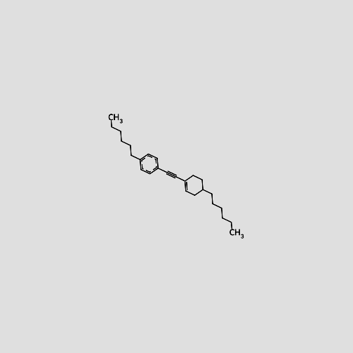 CCCCCCc1ccc(C#CC2=CCC(CCCCCC)CC2)cc1